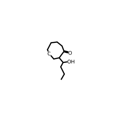 CCCC(O)C1CCCCCCC1=O